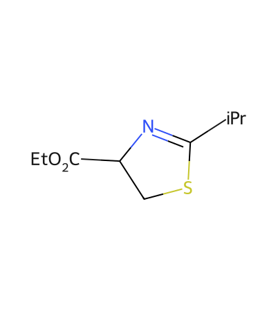 CCOC(=O)C1CSC(C(C)C)=N1